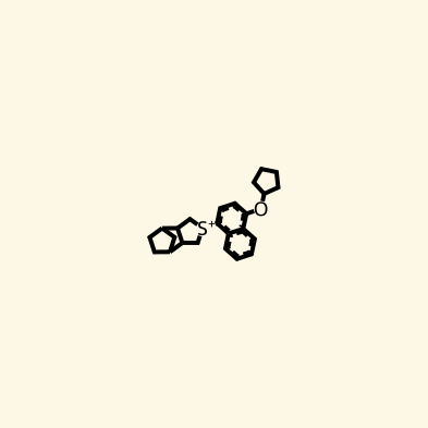 c1ccc2c([S+]3CC4C5CCC(C5)C4C3)ccc(OC3CCCC3)c2c1